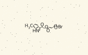 Cc1ccc2c(C(=O)COC(=O)/C=C/c3ccc(Br)o3)c[nH]c2c1